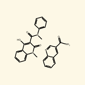 CN(C(=O)c1c(O)c2ccccc2n(C)c1=O)c1ccccc1.NC(=O)c1cnc2ccccc2c1